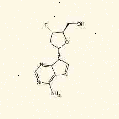 Nc1ncnc2c1ncn2[C@H]1C[C@H](F)[C@@H](CO)O1